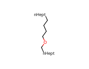 [CH2]CCCCCCCOCCCCCCCCCCC